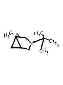 CC(C)(C)N1CC2C[C@@]2(C)C1